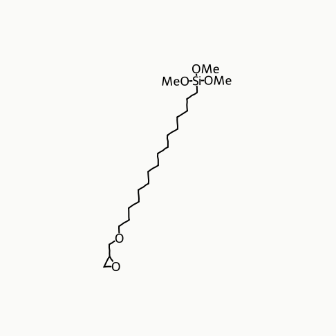 CO[Si](CCCCCCCCCCCCCCCCOCC1CO1)(OC)OC